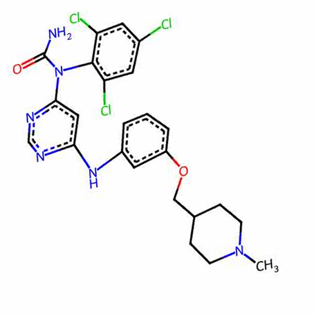 CN1CCC(COc2cccc(Nc3cc(N(C(N)=O)c4c(Cl)cc(Cl)cc4Cl)ncn3)c2)CC1